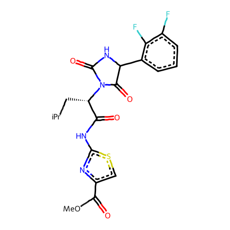 COC(=O)c1csc(NC(=O)[C@H](CC(C)C)N2C(=O)NC(c3cccc(F)c3F)C2=O)n1